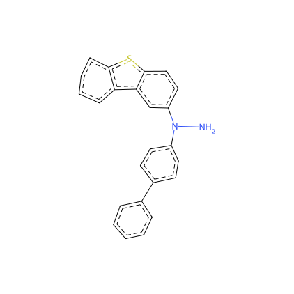 NN(c1ccc(-c2ccccc2)cc1)c1ccc2sc3ccccc3c2c1